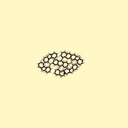 c1ccc2c(-c3c4ccc(N(c5cccc6oc7ccccc7c56)c5cccc6oc7ccccc7c56)cc4c(-c4cccc5ccccc45)c4ccc(N(c5cccc6oc7ccccc7c56)c5cccc6oc7ccccc7c56)cc34)cccc2c1